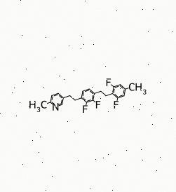 Cc1cc(F)c(CCc2ccc(CCc3ccc(C)nc3)c(F)c2F)c(F)c1